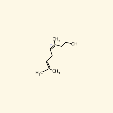 CC(C)=CC/C=C(/C)CCO